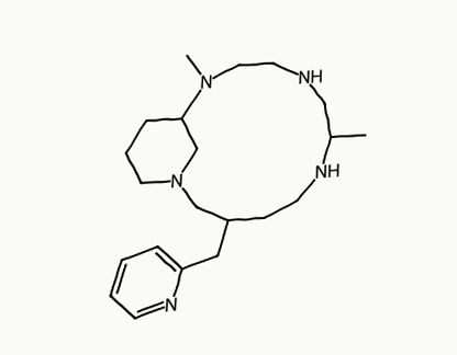 CC1CNCCN(C)C2CCCN(CC(Cc3ccccn3)CCN1)C2